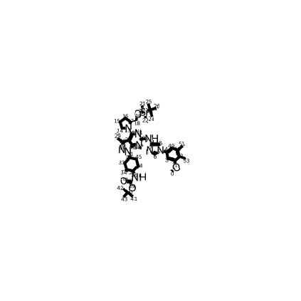 COc1cc(-n2cnc(Nc3nc(N4CCC[C@H]4CO[Si](C)(C)C(C)(C)C)c4c(C)nn(C5CCC(NC(=O)OC(C)(C)C)CC5)c4n3)c2)cc(C)c1C